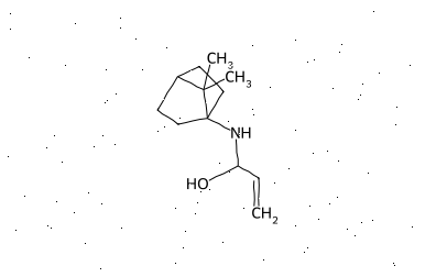 C=CC(O)NC12CCC(CC1)C2(C)C